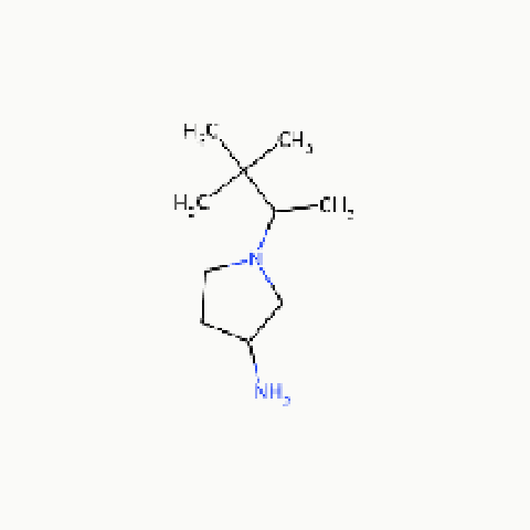 CC(N1CCC(N)C1)C(C)(C)C